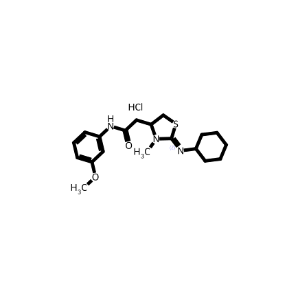 COc1cccc(NC(=O)CC2CS/C(=N\C3CCCCC3)N2C)c1.Cl